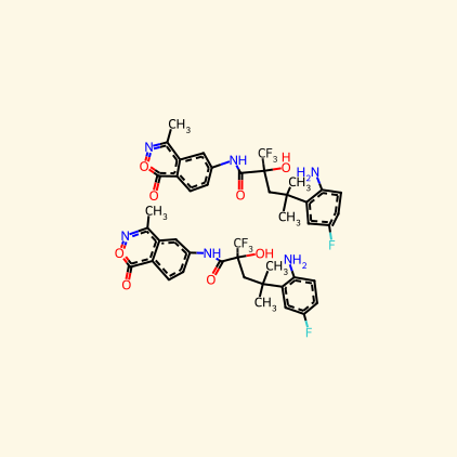 Cc1noc(=O)c2ccc(NC(=O)C(O)(CC(C)(C)c3cc(F)ccc3N)C(F)(F)F)cc12.Cc1noc(=O)c2ccc(NC(=O)C(O)(CC(C)(C)c3cc(F)ccc3N)C(F)(F)F)cc12